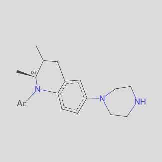 CC(=O)N1c2ccc(N3CCNCC3)cc2CC(C)[C@@H]1C